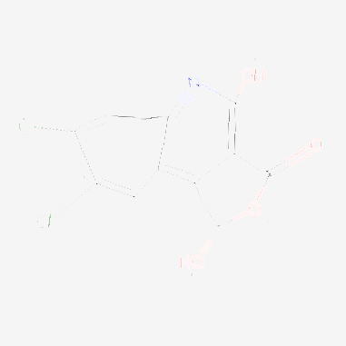 O=C1O[C@H](O)c2c1c(O)nc1cc(Cl)c(Cl)cc21